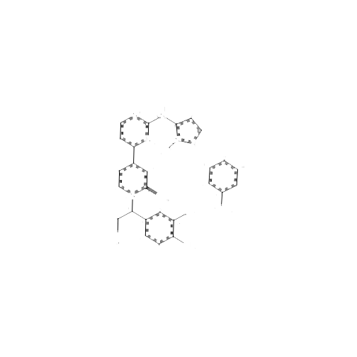 Cn1nccc1Nc1nccc(-c2ccn(C(CO)c3ccc(Cl)c(F)c3)c(=O)c2)n1.O=S(=O)(O)c1ccccc1